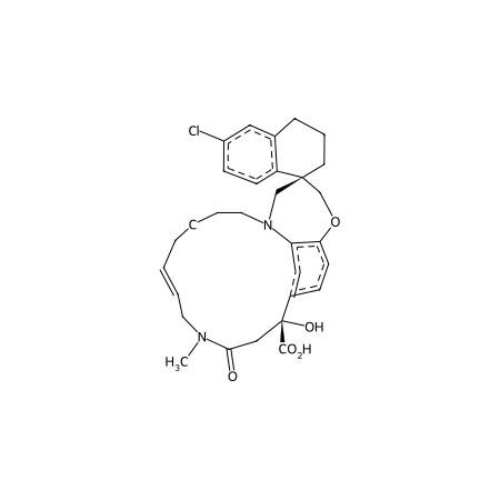 CN1C/C=C/CCCCN2C[C@@]3(CCCc4cc(Cl)ccc43)COc3ccc(cc32)[C@@](O)(C(=O)O)CC1=O